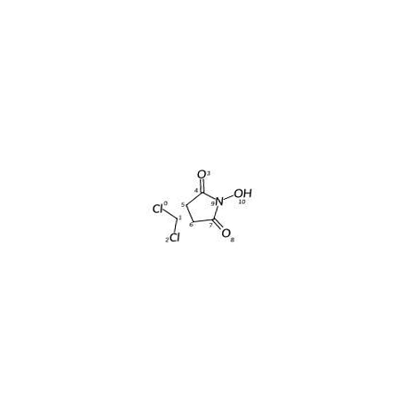 ClCCl.O=C1CCC(=O)N1O